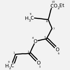 C=CC(=O)OC(=O)CC(C)C(=O)OCC